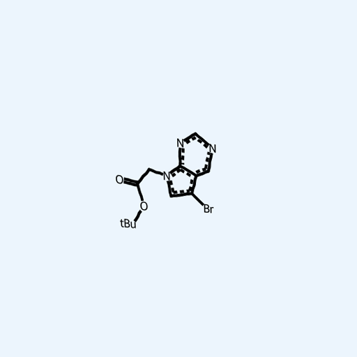 CC(C)(C)OC(=O)Cn1cc(Br)c2cncnc21